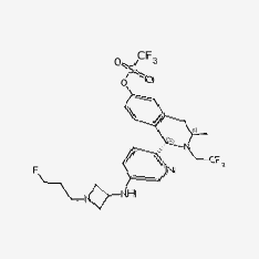 C[C@@H]1Cc2cc(OS(=O)(=O)C(F)(F)F)ccc2[C@@H](c2ccc(NC3CN(CCCF)C3)cn2)N1CC(F)(F)F